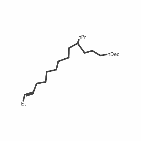 [CH2]CC=CCCCCCCCC(CCC)CCCCCCCCCCCC[CH2]